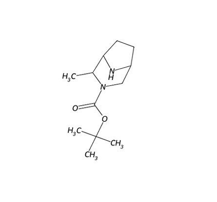 CC1C2CCC(CN1C(=O)OC(C)(C)C)N2